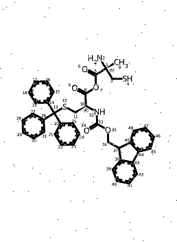 C[C@@](N)(CS)C(=O)OC(=O)[C@H](CSC(c1ccccc1)(c1ccccc1)c1ccccc1)NC(=O)OCC1c2ccccc2-c2ccccc21